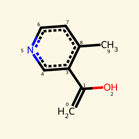 C=C(O)c1cnccc1C